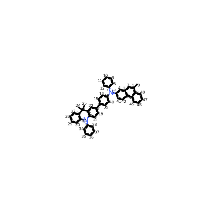 Cc1cc2cc(N(c3ccccc3)c3ccc(-c4ccc5c(c4)C(C)(C)c4ccccc4N5c4ccccc4)cc3)ccc2c2ccccc12